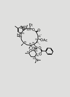 CC[C@H]1OC(=O)[C@H](C)[C@@H](OC(C)=O)[C@H](C)[C@@H](O[C@@H]2O[C@H](C)C[C@H](N(C)C)[C@H]2OC(=O)c2ccccc2)[C@](C)(O)C[C@@H](C)CN(C)[C@@H]2C=C(C)O[C@H]2[C@]1(C)O